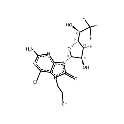 CCCn1c(=O)n([C@@H]2O[C@H]([C@@H](O)C(F)(F)F)[C@H](F)[C@H]2O)c2nc(N)nc(Cl)c21